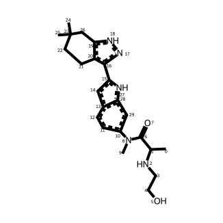 CC(NCCO)C(=O)N(C)c1ccc2cc(-c3n[nH]c4c3CCC(C)(C)C4)[nH]c2c1